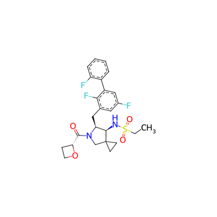 CCS(=O)(=O)N[C@@H]1[C@H](Cc2cc(F)cc(-c3ccccc3F)c2F)N(C(=O)[C@H]2CCO2)CC12CC2